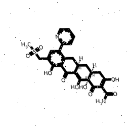 CS(=O)(=O)Cc1cc(-c2ccccn2)c2c(c1O)C(=O)C1=C(O)[C@]3(O)C(=O)C(C(N)=O)=C(O)C[C@@H]3C[C@@H]1C2